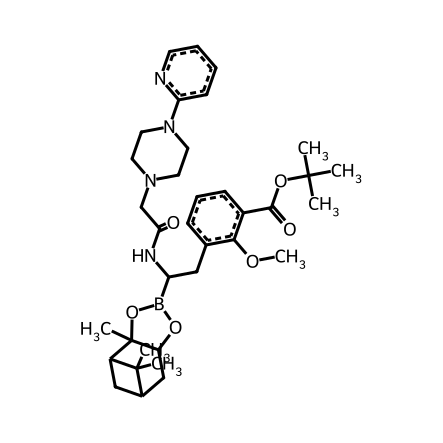 COc1c(CC(NC(=O)CN2CCN(c3ccccn3)CC2)B2OC3CC4CC(C4(C)C)C3(C)O2)cccc1C(=O)OC(C)(C)C